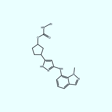 CC(C)NC(=O)OC1CCC(c2cc(Nc3cccc4cnn(C)c34)n[nH]2)C1